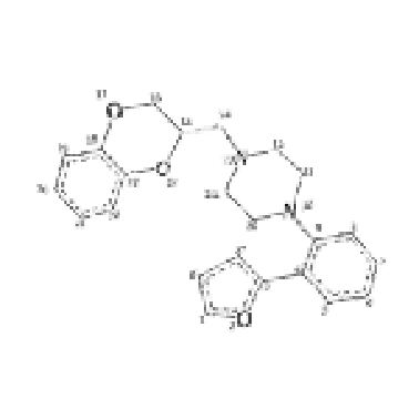 c1coc(-c2ccccc2N2CCN(C[C@H]3COc4ccccc4O3)CC2)c1